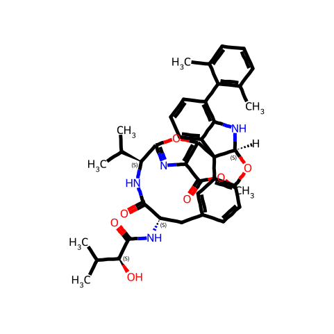 COC(=O)c1nc2oc1C13c4cc(ccc4O[C@@H]1Nc1c(-c4c(C)cccc4C)cccc13)C[C@H](NC(=O)[C@@H](O)C(C)C)C(=O)N[C@H]2C(C)C